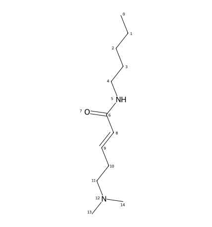 CCCCCNC(=O)C=CCCN(C)C